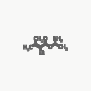 CCC(C(=O)OC(C)N)=C(C)C